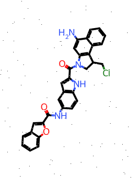 Nc1cc2c(c3ccccc13)C(CCl)CN2C(=O)c1cc2cc(NC(=O)c3cc4ccccc4o3)ccc2[nH]1